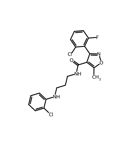 Cc1onc(-c2c(F)cccc2Cl)c1C(=O)NCCCNc1ccccc1Cl